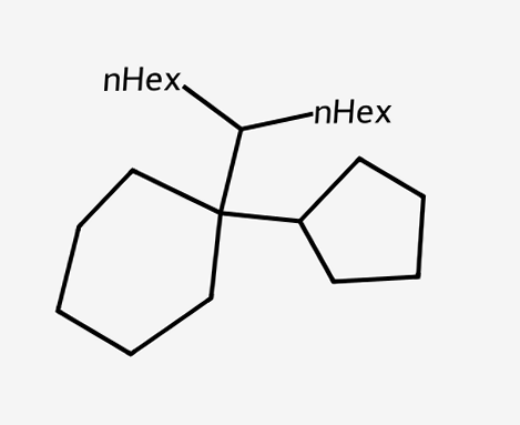 CCCCCCC(CCCCCC)C1(C2CCCC2)CCCCC1